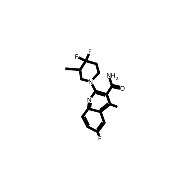 Cc1c(C(N)=O)c(N2CCC(F)(F)C(C)C2)nc2ccc(F)cc12